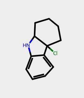 ClC12CCCCC1Nc1ccccc12